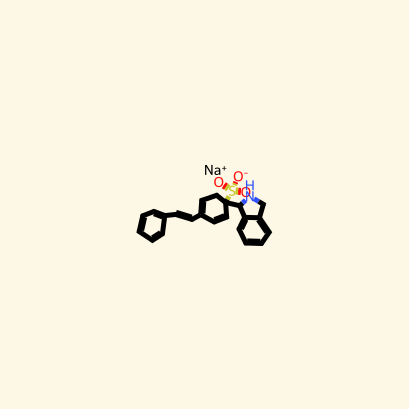 O=S(=O)([O-])C1(C2NCc3ccccc32)C=CC(C=Cc2ccccc2)=CC1.[Na+]